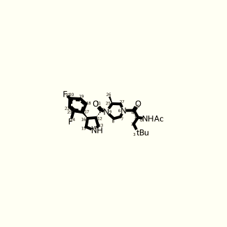 CC(=O)NC(CC(C)(C)C)C(=O)N1CCN(C(=O)[C@@H]2CNC[C@H]2c2ccc(F)cc2F)[C@@H](C)C1